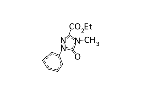 CCOC(=O)c1nn(-c2ccccc2)c(=O)n1C